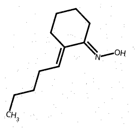 CCCC/C=C1\CCCC\C1=N/O